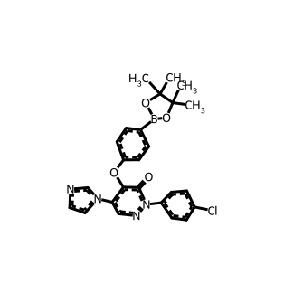 CC1(C)OB(c2ccc(Oc3c(-n4ccnc4)cnn(-c4ccc(Cl)cc4)c3=O)cc2)OC1(C)C